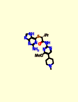 COc1nc(NC(=O)[C@H](Sc2nc(N)nc3nc[nH]c23)C(C)C)ncc1C1CCN(C)CC1